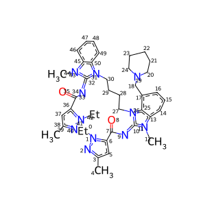 CCn1nc(C)cc1C(=O)N=c1n(C)c2cccc(CN3CCCCC3)c2n1CCCCn1/c(=N/C(=O)c2cc(C)nn2CC)n(C)c2ccccc21